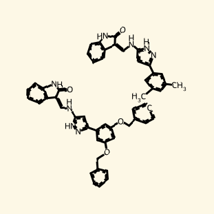 Cc1cc(C)cc(-c2cc(NC=C3C(=O)Nc4ccccc43)[nH]n2)c1.O=C1Nc2ccccc2C1=CNc1cc(-c2cc(OCc3ccccc3)cc(OCc3ccccc3)c2)n[nH]1